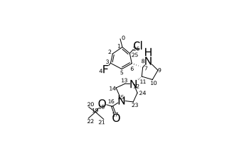 Cc1cc(F)cc([C@@H]2NCC[C@@H]2N2CCN(C(=O)OC(C)(C)C)CC2)c1Cl